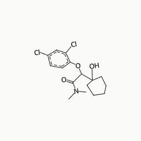 CN(C)C(=O)C(Oc1ccc(Cl)cc1Cl)C1(O)CCCCC1